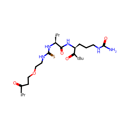 CC(C)C(=O)CCOCCNC(=S)N[C@H](C(=O)N[C@@H](CCCNC(N)=O)C(=O)C(C)(C)C)C(C)C